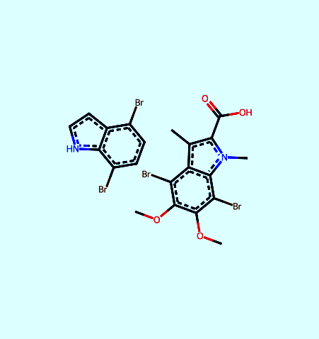 Brc1ccc(Br)c2[nH]ccc12.COc1c(OC)c(Br)c2c(c(C)c(C(=O)O)n2C)c1Br